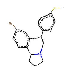 CSc1ccc(C2CN3CCCC3c3ccc(Br)cc32)cc1